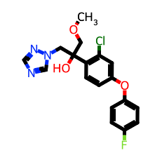 COCC(O)(Cn1cncn1)c1ccc(Oc2ccc(F)cc2)cc1Cl